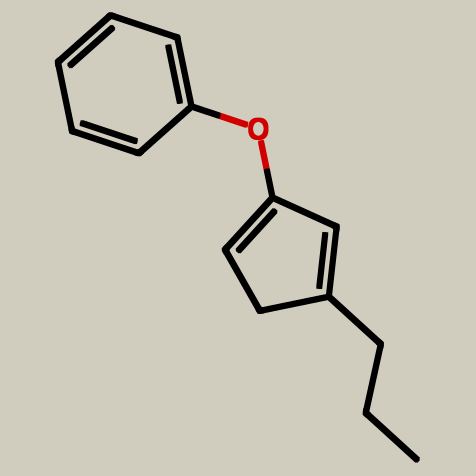 CCCC1=CC(Oc2ccccc2)=CC1